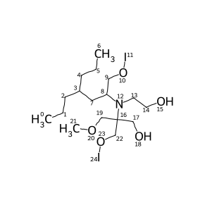 CCCC(CCC)CC(COI)N(CCO)C(CO)(COC)COI